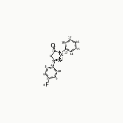 O=C1CC(c2ccc(F)cc2)=NN1c1ccccc1